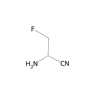 N#CC(N)CF